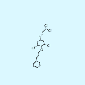 ClC(Cl)=CCOc1cc(Cl)c(OCC=Cc2ccccc2)c(Cl)c1